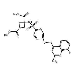 COC(=O)C1(NS(=O)(=O)c2ccc(OCc3cc(C)nc4c(F)cccc34)cc2)CN(C(=O)OC(C)(C)C)C1